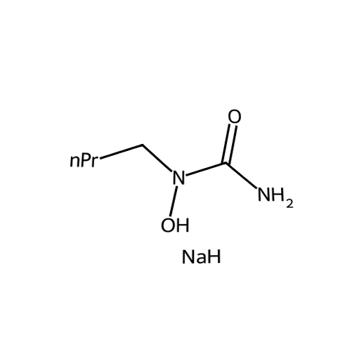 CCCCN(O)C(N)=O.[NaH]